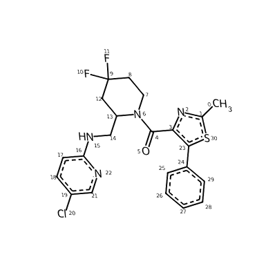 Cc1nc(C(=O)N2CCC(F)(F)CC2CNc2ccc(Cl)cn2)c(-c2ccccc2)s1